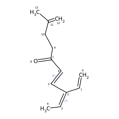 C=CC(=C/C)/C=C/C(=O)CCC(=C)C